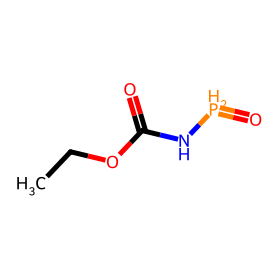 CCOC(=O)N[PH2]=O